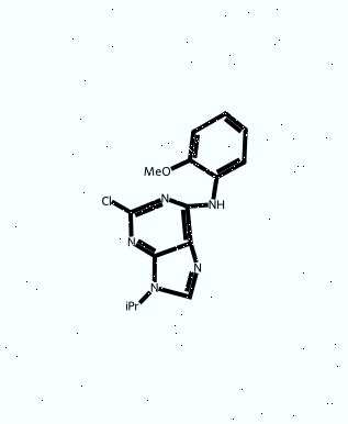 COc1ccccc1Nc1nc(Cl)nc2c1ncn2C(C)C